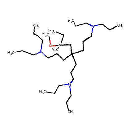 CCCN(CCC)CCCC(CCCN(CCC)CCC)(CCCN(CCC)CCC)C[Si](C)(CC)OC